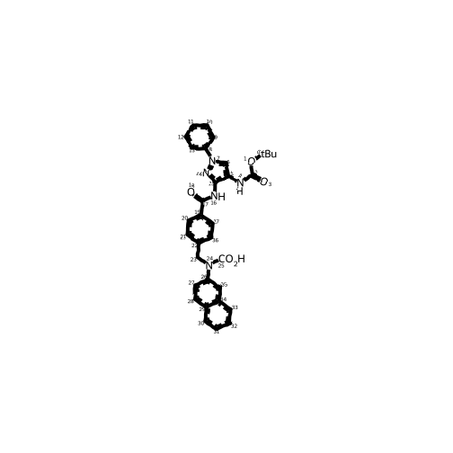 CC(C)(C)OC(=O)Nc1cn(-c2ccccc2)nc1NC(=O)c1ccc(CN(C(=O)O)c2ccc3ccccc3c2)cc1